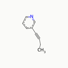 CCC#Cc1cccnc1